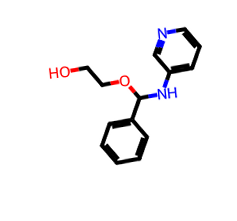 OCCOC(Nc1cccnc1)c1ccccc1